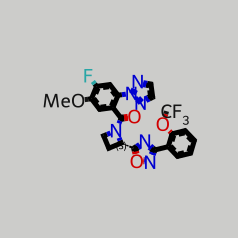 COc1cc(C(=O)N2CC[C@H]2c2nc(-c3ccccc3OC(F)(F)F)no2)c(-n2nccn2)cc1F